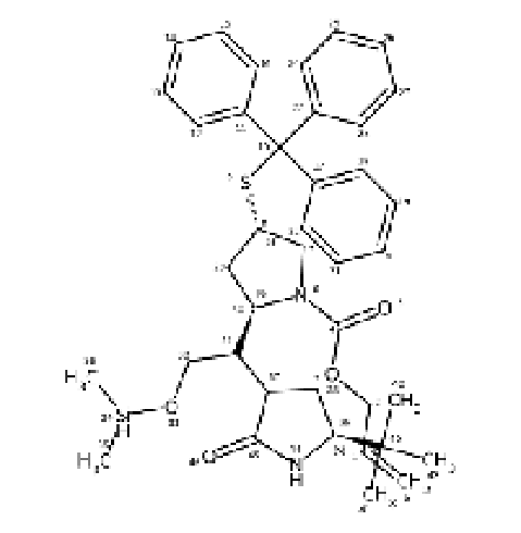 C=CCOC(=O)N1C[C@@H](SC(c2ccccc2)(c2ccccc2)c2ccccc2)C[C@@H]1C(CO[SiH](C)C)C1C[C@@H](C(C)(C)C)NC1=O